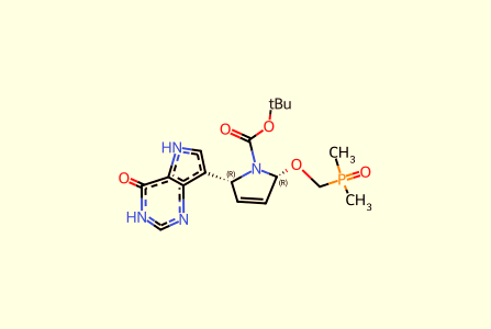 CC(C)(C)OC(=O)N1[C@@H](c2c[nH]c3c(=O)[nH]cnc23)C=C[C@H]1OCP(C)(C)=O